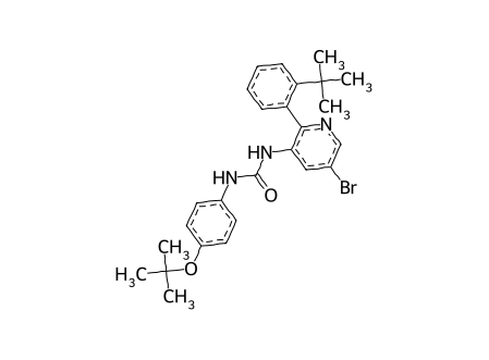 CC(C)(C)Oc1ccc(NC(=O)Nc2cc(Br)cnc2-c2ccccc2C(C)(C)C)cc1